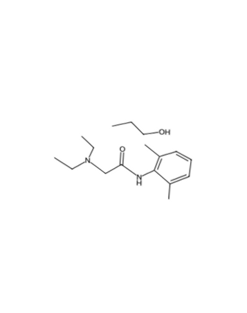 CCCO.CCN(CC)CC(=O)Nc1c(C)cccc1C